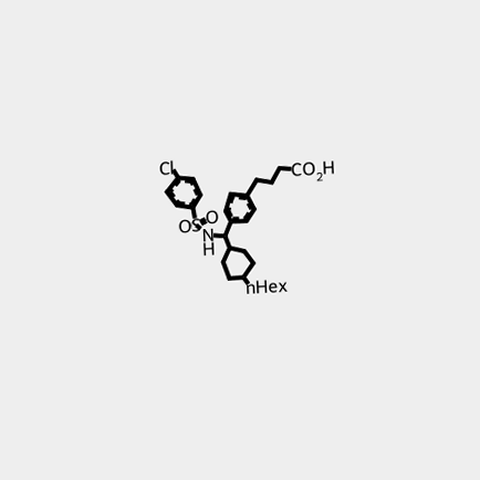 CCCCCCC1CCC(C(NS(=O)(=O)c2ccc(Cl)cc2)c2ccc(CCCC(=O)O)cc2)CC1